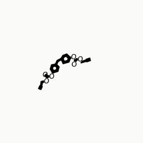 C#CCOC(=O)Oc1ccc(Cc2ccc(OC(=O)OCC#C)cc2)cc1